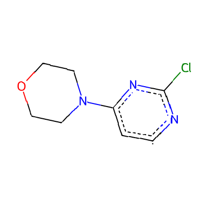 Clc1n[c]cc(N2CCOCC2)n1